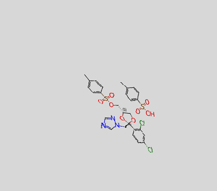 Cc1ccc(S(=O)(=O)O)cc1.Cc1ccc(S(=O)(=O)OC[C@@H]2CO[C@](Cn3cncn3)(c3ccc(Cl)cc3Cl)O2)cc1